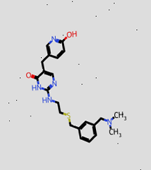 CN(C)Cc1cccc(CSCCNc2ncc(Cc3ccc(O)nc3)c(=O)[nH]2)c1